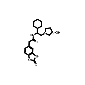 O=C(Cc1ccc2oc(=O)[nH]c2c1)NC(CN1CC[C@H](O)C1)C1CCCCC1